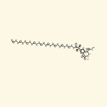 CCN[C@H]1C[C@H](C)S(=O)(=O)c2sc(S(=O)(=O)NCCOCCOCCOCCOCCOCCOCCOCCOCCOC)cc21